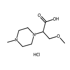 COCC(C(=O)O)N1CCN(C)CC1.Cl